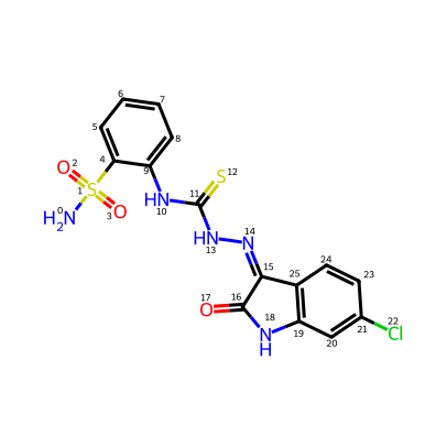 NS(=O)(=O)c1ccccc1NC(=S)NN=C1C(=O)Nc2cc(Cl)ccc21